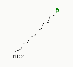 CCCCCCCCCCCCCCCCC=CCBr